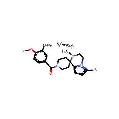 COc1cc(C(=O)N2CCC3(CC2)c2ccc(C(F)(F)F)n2CCN3C)ccc1OC(C)C.CS(=O)(=O)O